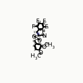 COc1ccc(CS(=O)(=O)/C(C#N)=C/c2c(F)c(F)c(F)c(F)c2F)cc1OC